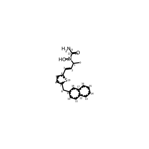 CC(C=Cc1ccc(Cc2ccc3ccccc3c2)s1)N(O)C(N)=O